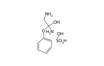 NCC(N)(O)Oc1ccccc1.O=S(=O)(O)O